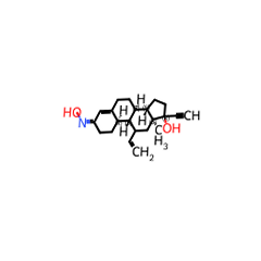 C#C[C@@]1(O)CC[C@H]2[C@@H]3CCC4=CC(=NO)CC[C@@H]4[C@H]3C(C=C)C[C@@]21C